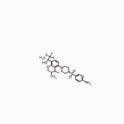 C[C@H]1COCCN1C[C@H]1CN(S(=O)(=O)c2ccc(N)nc2)CCN1c1ccc([C@@](C)(O)C(F)(F)F)cc1